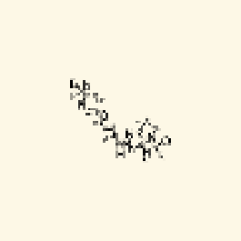 CC1C(=O)N2CCCc3nc(NC4CC(COc5ccc(C(F)(F)F)nc5)C4)nc(c32)N1C